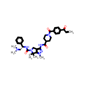 C=CC(=O)c1ccc(C(=O)N2CCC(C(=O)Nc3nn(C)c4c3CN(C(=O)N[C@H](CN(C)C)c3ccccc3)C4(C)C)CC2)cc1